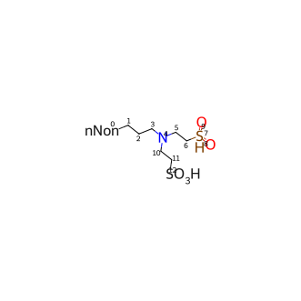 CCCCCCCCCCCCN(CC[SH](=O)=O)CCS(=O)(=O)O